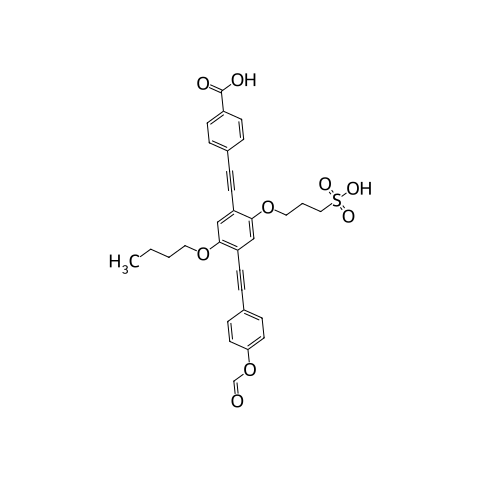 CCCCOc1cc(C#Cc2ccc(C(=O)O)cc2)c(OCCCS(=O)(=O)O)cc1C#Cc1ccc(OC=O)cc1